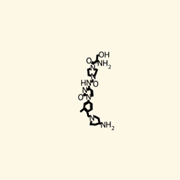 Cc1cc(-n2ccc(NC(=O)N3CCN(C(=O)[C@@H](N)CO)CC3)nc2=O)ccc1CN1CCC(N)CC1